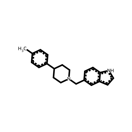 Cc1ccc(C2CCN(Cc3ccc4[nH]ccc4c3)CC2)cc1